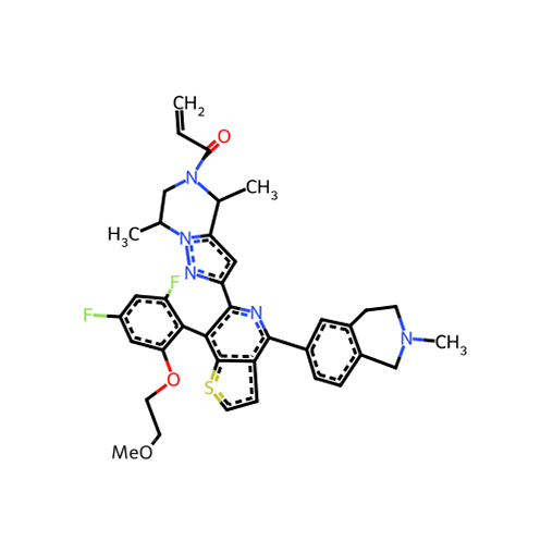 C=CC(=O)N1CC(C)n2nc(-c3nc(-c4ccc5c(c4)CCN(C)C5)c4ccsc4c3-c3c(F)cc(F)cc3OCCOC)cc2C1C